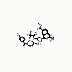 COC(=O)c1ccc2nc(C(F)(F)F)nc(N3C[C@H](NC4CCN(C(=O)c5ccc(Cl)cc5)CC4)[C@@H](OC(=O)C(F)(F)F)C3)c2c1